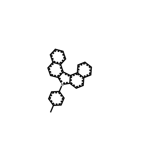 Cc1ccc(-n2c3ccc4ccccc4c3c3c4ccccc4ccc32)cc1